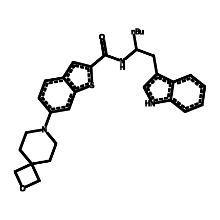 CCCCC(Cc1c[nH]c2ccccc12)NC(=O)c1cc2ccc(N3CCC4(CC3)COC4)cc2s1